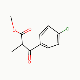 COC(=O)C(C)C(=O)c1ccc(Cl)cc1